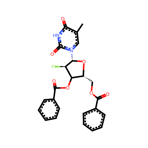 Cc1cn([C@@H]2O[C@H](COC(=O)c3ccccc3)C(OC(=O)c3ccccc3)[C@H]2F)c(=O)[nH]c1=O